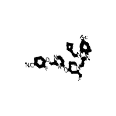 CC(=O)c1ccc2nc(CN3CCC(Oc4ccnc(COc5ccc(C#N)cc5F)n4)CC3CF)n(CC3CCC3)c2c1